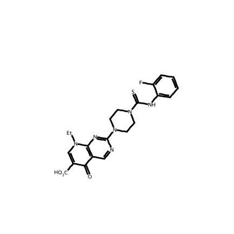 CCn1cc(C(=O)O)c(=O)c2cnc(N3CCN(C(=S)Nc4ccccc4F)CC3)nc21